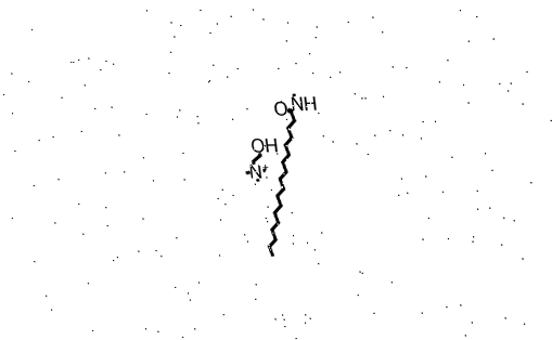 CCCCCCCCCCCCCCCCCC(=O)NC.C[N+](C)(C)CCO